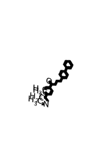 C=C(/C=C\C(=C/C)C(=O)CCCc1ccc(-c2ccccc2)cc1)C(=C)C/N=C\C